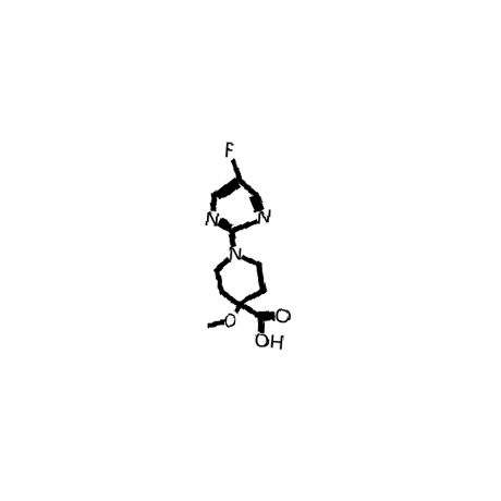 COC1(C(=O)O)CCN(c2ncc(F)cn2)CC1